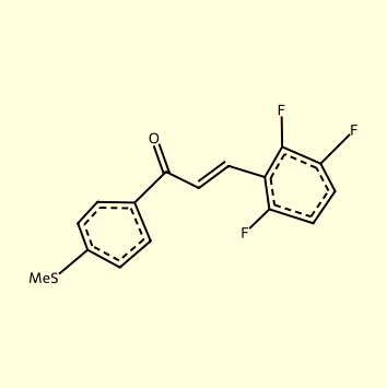 CSc1ccc(C(=O)C=Cc2c(F)ccc(F)c2F)cc1